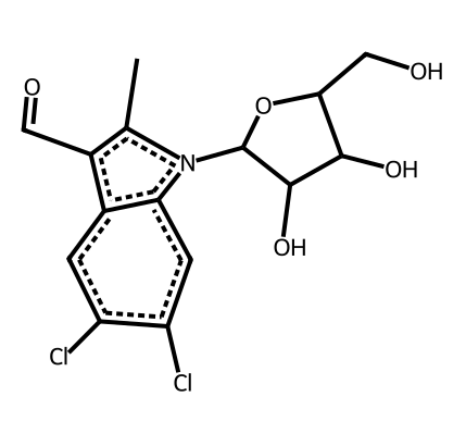 Cc1c(C=O)c2cc(Cl)c(Cl)cc2n1C1OC(CO)C(O)C1O